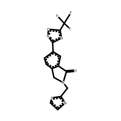 O=C1c2cc(-c3noc(C(F)(F)F)n3)ccc2CN1Cc1nccs1